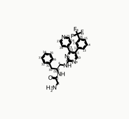 NCC(=O)N[C@H](CNc1ncc(-c2cccc(C(F)(F)F)c2)c(-c2ccncc2)n1)Cc1ccccc1